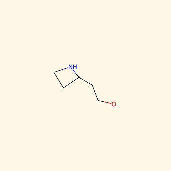 [O]CCC1CCN1